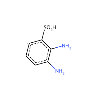 Nc1cc[c]c(S(=O)(=O)O)c1N